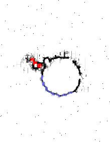 C[C@H]1C[C@H](O)[C@@H](C)/C=C/C=C/C=C/C=C/C=C/C=C/C=C/C(O[C@@H]2OC[C@@H](O)[C@H](N)[C@@H]2O)C[C@@H]2OC(O)(CC(O)CC(O)C(O)CCC(O)CC(O)CC(=O)O1)C[C@H](O)C2C(=O)NCCCS(C)(=O)=O